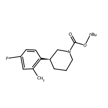 CCCCOC(=O)N1CCC[C@@H](c2ccc(F)cc2C)C1